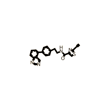 C#Cc1nc(C(=O)NCCc2ccc(-c3cccc4ncncc34)cc2)cs1